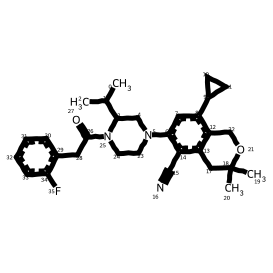 CC(C)C1CN(c2cc(C3CC3)c3c(c2C#N)CC(C)(C)OC3)CCN1C(=O)Cc1ccccc1F